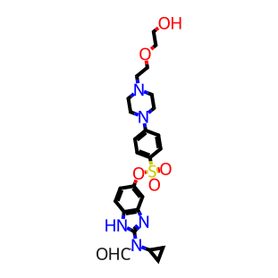 O=CN(c1nc2cc(OS(=O)(=O)c3ccc(N4CCN(CCOCCO)CC4)cc3)ccc2[nH]1)C1CC1